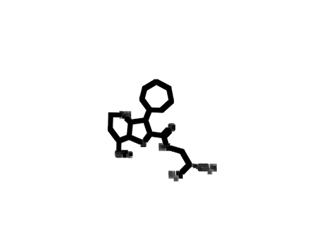 COC1CCNC2C1SC(C(=O)NC[C@@H](N)C(=O)O)C2C1CCCCCC1